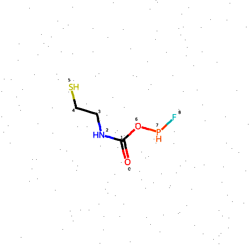 O=C(NCCS)OPF